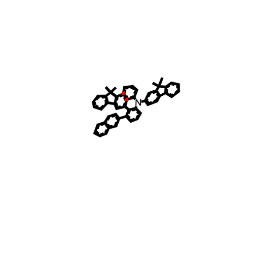 CC1(C)c2ccccc2-c2cc(-c3c(-c4ccc5ccccc5c4)cccc3N(c3ccccc3)c3ccc4c(c3)C(C)(C)c3ccccc3-4)ccc21